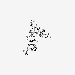 CC(C)Sc1ccc(S(C)(=O)=O)cc1C(=O)N1CCN(c2nnc(C(F)(F)F)s2)CC1